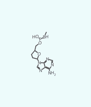 CBP(O)OCC1CCC(n2cnc3c(N)ncnc32)O1